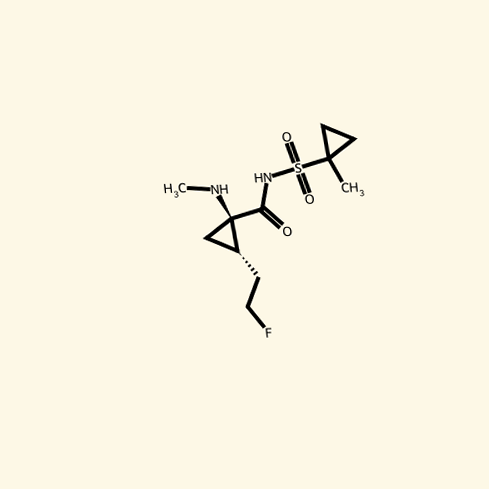 CN[C@]1(C(=O)NS(=O)(=O)C2(C)CC2)C[C@H]1CCF